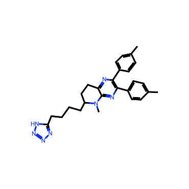 Cc1ccc(-c2nc3c(nc2-c2ccc(C)cc2)N(C)C(CCCCc2nnn[nH]2)CC3)cc1